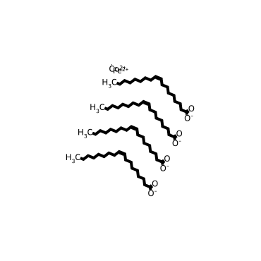 CCCCCCCC/C=C\CCCCCCCC(=O)[O-].CCCCCCCC/C=C\CCCCCCCC(=O)[O-].CCCCCCCC/C=C\CCCCCCCC(=O)[O-].CCCCCCCC/C=C\CCCCCCCC(=O)[O-].[Co+2].[Fe+2]